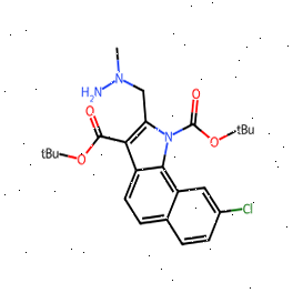 CN(N)Cc1c(C(=O)OC(C)(C)C)c2ccc3ccc(Cl)cc3c2n1C(=O)OC(C)(C)C